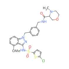 COc1cccc2c1c(NS(=O)(=O)c1ccc(Cl)s1)nn2Cc1cccc(CNC(=O)C2COCCN2C)c1